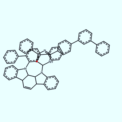 C1=CC2c3ccccc3N(C3N=C(c4ccccc4)N=C(c4ccc(-c5cccc(-c6ccccc6)c5)cc4)N3)C2C2C1c1ccccc1N2c1cc(-c2ccccc2)ccc1-c1ccccc1